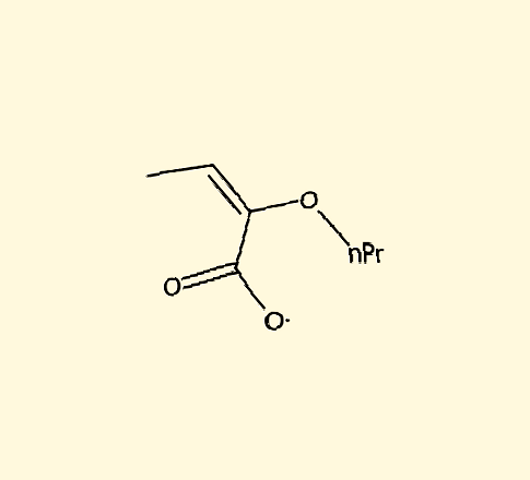 C/C=C(/OCCC)C([O])=O